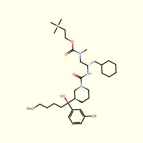 COCCCC[C@@](O)(c1cccc(C#N)c1)[C@@H]1CCCN(C(=O)N[C@@H](CC2CCCCC2)CN(C)C(=O)OCC[Si](C)(C)C)C1